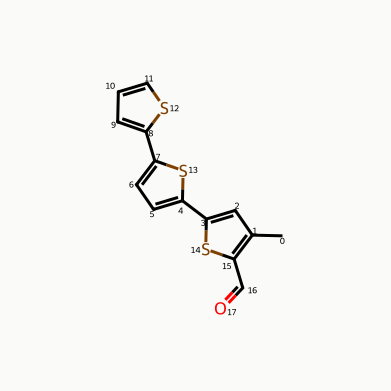 Cc1cc(-c2ccc(-c3cccs3)s2)sc1C=O